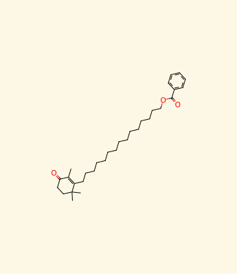 CC1=C(CCCCCCCCCCCCCCCOC(=O)c2ccccc2)C(C)(C)CCC1=O